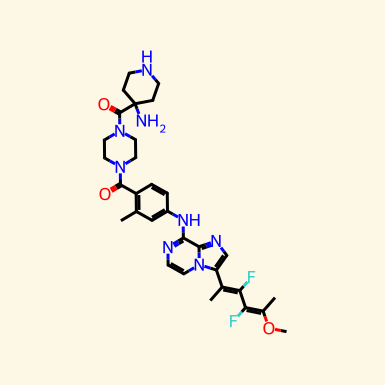 CO/C(C)=C(F)/C(F)=C(\C)c1cnc2c(Nc3ccc(C(=O)N4CCN(C(=O)C5(N)CCNCC5)CC4)c(C)c3)nccn12